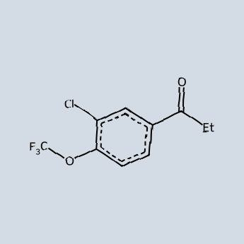 CCC(=O)c1ccc(OC(F)(F)F)c(Cl)c1